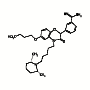 C[C@@H]1CCC[C@H](C)N1CCCCCN1C(=O)C(c2cccc(C(=N)N)c2)Oc2ccc(OCCCC(=O)O)cc21